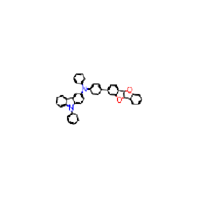 c1ccc(N(c2ccc(-c3ccc4c(c3)oc3c5ccccc5oc43)cc2)c2ccc3c(c2)c2ccccc2n3-c2ccccc2)cc1